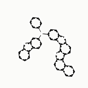 c1ccc(N(c2ccc3c(c2)oc2ccccc23)c2ccc3sc4ccc5c(sc6ccc7ccccc7c65)c4c3c2)cc1